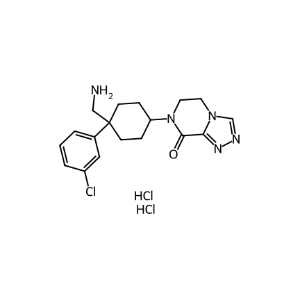 Cl.Cl.NCC1(c2cccc(Cl)c2)CCC(N2CCn3cnnc3C2=O)CC1